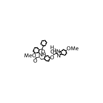 COC(=O)[C@H](Cc1ccc(OC(C)c2nc3ccc(OC)cc3[nH]2)cc1)Nc1ccccc1C(=O)c1ccccc1